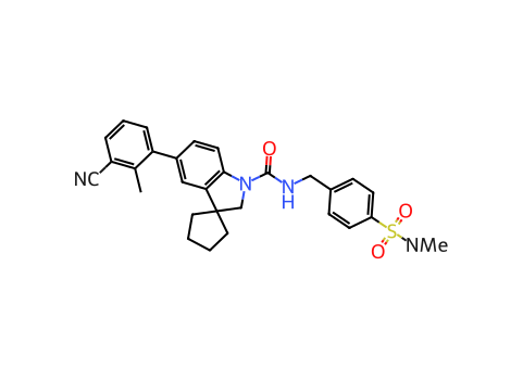 CNS(=O)(=O)c1ccc(CNC(=O)N2CC3(CCCC3)c3cc(-c4cccc(C#N)c4C)ccc32)cc1